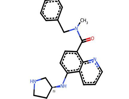 CN(Cc1ccccc1)C(=O)c1ccc(N[C@H]2CCNC2)c2cccnc12